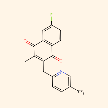 CC1=C(Cc2ccc(C(F)(F)F)cn2)C(=O)c2ccc(F)cc2C1=O